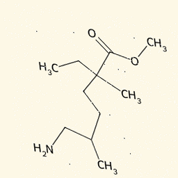 CCC(C)(CCC(C)CN)C(=O)OC